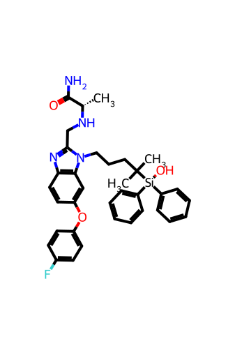 C[C@H](NCc1nc2ccc(Oc3ccc(F)cc3)cc2n1CCCC(C)(C)[Si](O)(c1ccccc1)c1ccccc1)C(N)=O